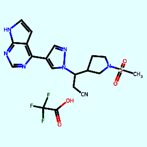 CS(=O)(=O)N1CCC(C(CC#N)n2cc(-c3ncnc4[nH]ccc34)cn2)C1.O=C(O)C(F)(F)F